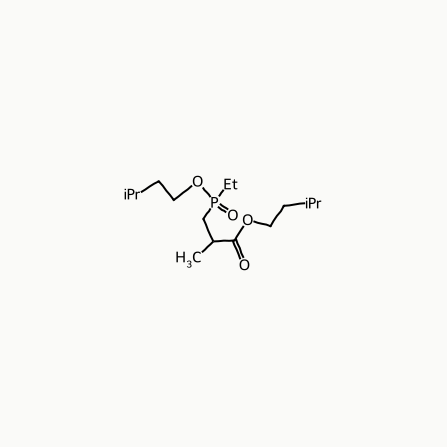 CCP(=O)(CC(C)C(=O)OCCC(C)C)OCCC(C)C